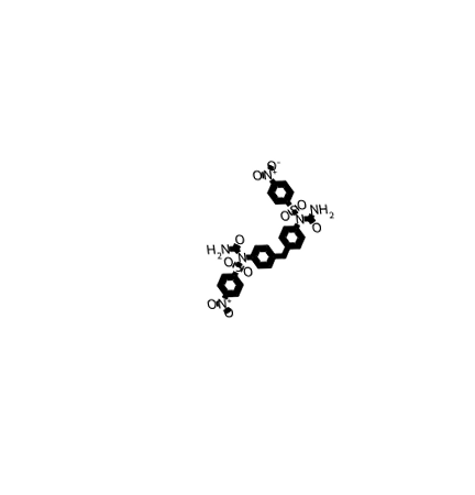 NC(=O)N(c1ccc(Cc2ccc(N(C(N)=O)S(=O)(=O)c3ccc([N+](=O)[O-])cc3)cc2)cc1)S(=O)(=O)c1ccc([N+](=O)[O-])cc1